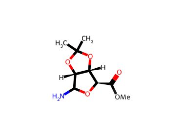 COC(=O)[C@H]1OC(N)[C@@H]2OC(C)(C)O[C@H]12